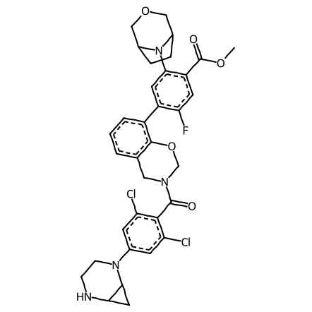 COC(=O)c1cc(F)c(-c2cccc3c2OCN(C(=O)c2c(Cl)cc(N4CCNC5CC54)cc2Cl)C3)cc1N1C2CCC1COC2